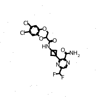 NC(=O)c1ncc(C(F)F)nc1C12CC(NC(=O)C3COc4cc(Cl)c(Cl)cc4O3)(C1)C2